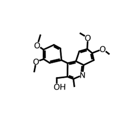 COc1ccc(-c2c(CO)c(C)nc3cc(OC)c(OC)cc23)cc1OC